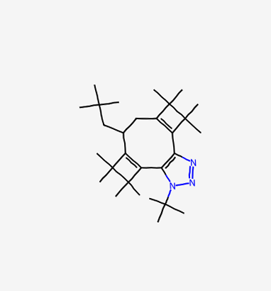 CC(C)(C)CC1CC2=C(c3nnn(C(C)(C)C)c3C3=C1C(C)(C)C3(C)C)C(C)(C)C2(C)C